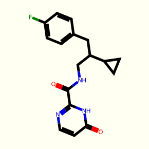 O=C(NCC(Cc1ccc(F)cc1)C1CC1)c1nccc(=O)[nH]1